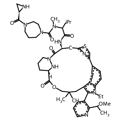 CCn1c(-c2cccnc2[C@H](C)OC)c2c3cc(ccc31)-c1csc(n1)C[C@H](NC(=O)C(C(C)C)N(C)C(=O)N1CCCN(C(=O)[C@H]3CN3)CC1)C(=O)N1CCC[C@H](N1)C(=O)OCC(C)(C)C2